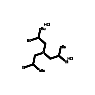 CCCCC(CC)CN(CC(CC)CCCC)CC(CC)CCCC.Cl.Cl